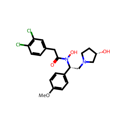 COc1ccc([C@@H](CN2CC[C@H](O)C2)N(O)C(=O)Cc2ccc(Cl)c(Cl)c2)cc1